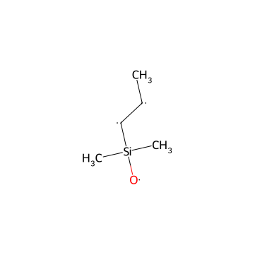 C[CH][CH][Si](C)(C)[O]